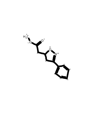 COC(=O)CC1CC(c2ccccc2)=NO1